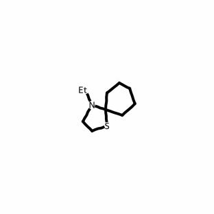 CCN1CCSC12CCCCC2